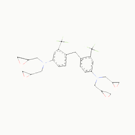 FC(F)(F)c1cc(N(CC2CO2)CC2CO2)ccc1Cc1ccc(N(CC2CO2)CC2CO2)cc1C(F)(F)F